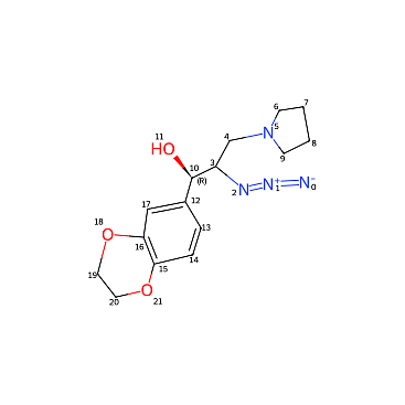 [N-]=[N+]=NC(CN1CCCC1)[C@H](O)c1ccc2c(c1)OCCO2